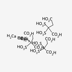 O=C(O)CC(C(=O)O)(S(=O)(=O)O)S(=O)(=O)O.O=C(O)CC(C(=O)O)(S(=O)(=O)O)S(=O)(=O)O.O=C(O)CC(C(=O)O)(S(=O)(=O)O)S(=O)(=O)O.[CaH2].[CaH2].[CaH2]